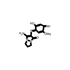 COC1=CC(=Nc2c(N)n3n(c2=O)CCC3)C(O)=CC1=N